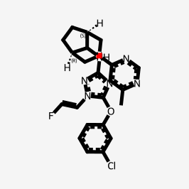 Cc1cc(N2C[C@H]3CC[C@@H](C2)C3Nc2nc(Oc3cccc(Cl)c3)n(C=CF)n2)ncn1